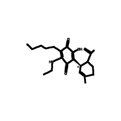 C=C(C)C1CCC(C)=C[C@H]1C1=C(O)C(=O)C(CCCCC)=C(NCC)C1=O